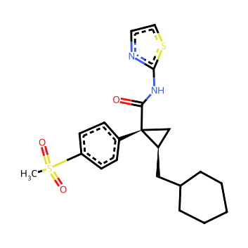 CS(=O)(=O)c1ccc([C@@]2(C(=O)Nc3nccs3)C[C@H]2CC2CCCCC2)cc1